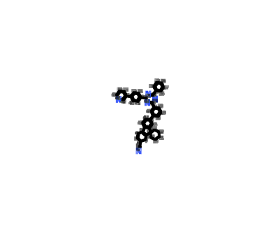 N#CC1C=CC2=C(C1)C1(CCCCC1)c1cc(-c3cccc(-c4nc(-c5ccccc5)nc(-c5ccc(-c6cccnc6)cc5)n4)c3)ccc12